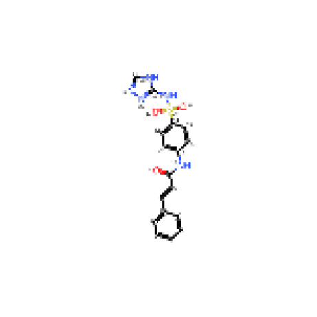 O=C(/C=C/c1ccccc1)Nc1ccc(S(=O)(=O)Nc2nnc[nH]2)cc1